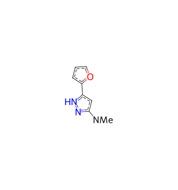 CNc1cc(-c2ccco2)[nH]n1